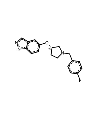 Fc1ccc(CN2CC[C@H](Oc3ccc4[nH]ncc4c3)C2)cc1